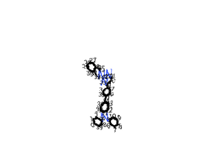 c1ccc(N(c2ccccc2)c2ccc(-c3ccc(-c4ccnc(N5Cc6ccccc6C5)n4)cc3)cc2)cc1